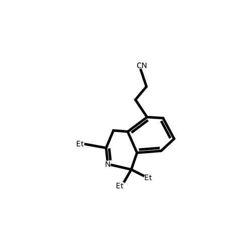 CCC1=NC(CC)(CC)c2cccc(CCC#N)c2C1